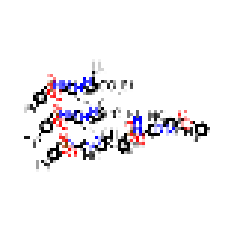 CCOC(=O)c1cc(C#N)c(N2CC(C(=O)NS(=O)(=O)Cc3ccc(C(C)C)cc3)C2)nc1C.CCOC(=O)c1cc(C#N)c(N2CCC(C(=O)NS(=O)(=O)CC3CCC(C)CC3)CC2)nc1C.CCOC(=O)c1cc(C#N)c(N2CCC(C(=O)NS(=O)(=O)Cc3ccc(C(C)C)cc3)CC2)nc1C.Cc1nc(N2CCC(C(=O)NS(=O)(=O)Cc3ccccc3)CC2)c(C#N)cc1C(=O)OCc1ccccc1